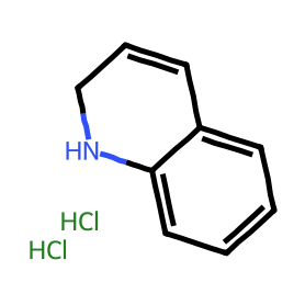 C1=Cc2ccccc2NC1.Cl.Cl